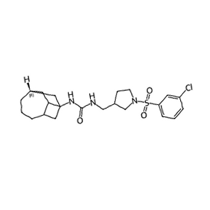 O=C(NCC1CCN(S(=O)(=O)c2cccc(Cl)c2)C1)NC12CC3CCC[C@H](CC31)C2